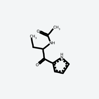 CCC(NC(C)=O)C(=O)c1ccc[nH]1